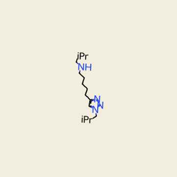 CC(C)CNCCCCCc1cn(CC(C)C)nn1